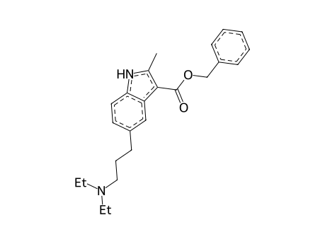 CCN(CC)CCCc1ccc2[nH]c(C)c(C(=O)OCc3ccccc3)c2c1